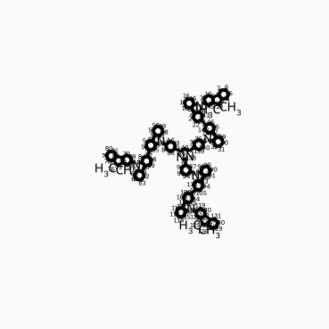 CC1(C)c2ccccc2-c2ccc(-n3c4ccccc4c4ccc(-c5ccc6c7ccccc7n(-c7ccc(-c8cc(-c9ccc(-n%10c%11ccccc%11c%11ccc(-c%12ccc%13c%14ccccc%14n(-c%14ccc%15c(c%14)C(C)(C)c%14ccccc%14-%15)c%13c%12)cc%11%10)cc9)nc(-c9cccc(-n%10c%11ccccc%11c%11ccc(-c%12ccc%13c%14ccccc%14n(-c%14ccc%15c(c%14)C(C)(C)c%14ccccc%14-%15)c%13c%12)cc%11%10)c9)n8)cc7)c6c5)cc43)cc21